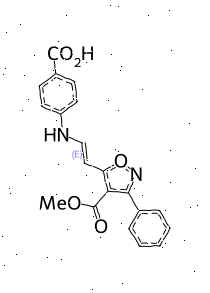 COC(=O)c1c(-c2ccccc2)noc1/C=C/Nc1ccc(C(=O)O)cc1